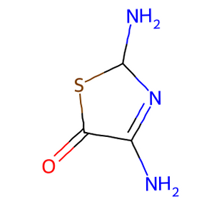 NC1=NC(N)SC1=O